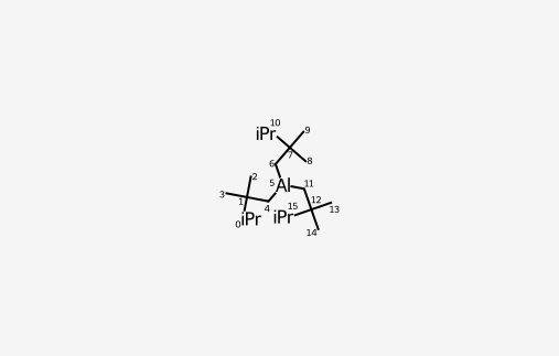 CC(C)C(C)(C)[CH2][Al]([CH2]C(C)(C)C(C)C)[CH2]C(C)(C)C(C)C